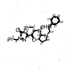 CC(C)C[C@@H](C(=O)c1nn(CC(C)C)c(=O)o1)N(C=O)[C@@H]1CCCN1CCc1ccccc1